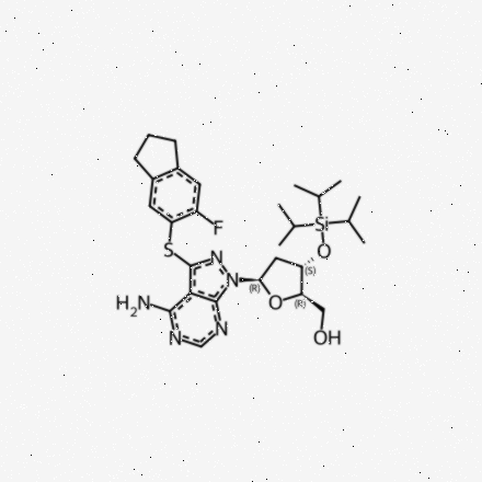 CC(C)[Si](O[C@H]1C[C@H](n2nc(Sc3cc4c(cc3F)CCC4)c3c(N)ncnc32)O[C@@H]1CO)(C(C)C)C(C)C